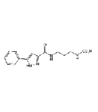 O=C(O)NCCCNC(=O)c1cc(-c2ccccc2)[nH]n1